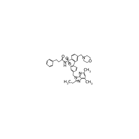 CCc1nc2c(C)cc(C)nc2n1Cc1ccc(-c2cc(CN3CCOCC3)ccc2S(=O)(=O)NC(=O)CCc2ccccc2)cc1